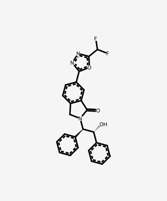 O=C1c2cc(-c3nnc(C(F)F)o3)ccc2CN1[C@H](c1ccccc1)[C@H](O)c1ccccc1